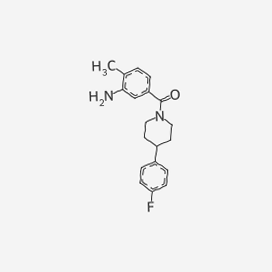 Cc1ccc(C(=O)N2CCC(c3ccc(F)cc3)CC2)cc1N